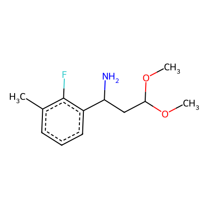 COC(CC(N)c1cccc(C)c1F)OC